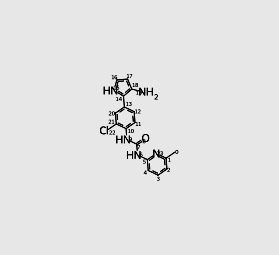 Cc1cccc(NC(=O)Nc2ccc(-c3[nH]ccc3N)cc2Cl)n1